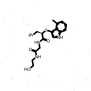 Cc1cccc2[nH]cc(S[C@H](CC(C)C)C(=O)NCC(=O)NCCO)c12